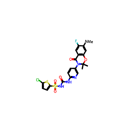 CNc1cc2c(cc1F)C(=O)N(c1ccc(NC(=O)NS(=O)(=O)c3ccc(Cl)s3)nc1)C(C)(C)O2